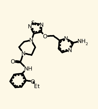 CCOc1ccccc1NC(=O)N1CCN(c2nsnc2OCc2ccnc(N)n2)CC1